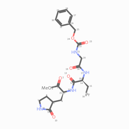 COC(=O)[C@H](CC1CCNC1=O)NC(=O)[C@H](CC(C)C)NC(=O)CNC(=O)OCc1ccccc1